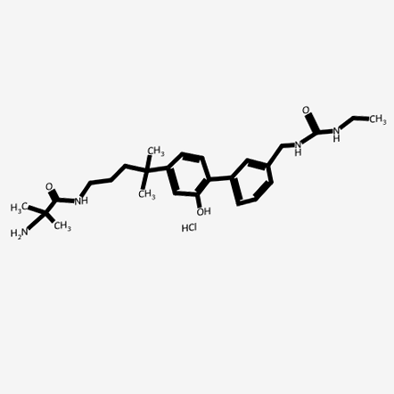 CCNC(=O)NCc1cccc(-c2ccc(C(C)(C)CCCNC(=O)C(C)(C)N)cc2O)c1.Cl